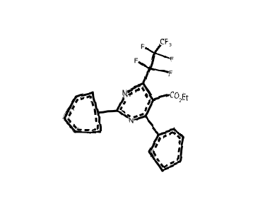 CCOC(=O)c1c(-c2ccccc2)nc(-c2ccccc2)nc1C(F)(F)C(F)(F)C(F)(F)F